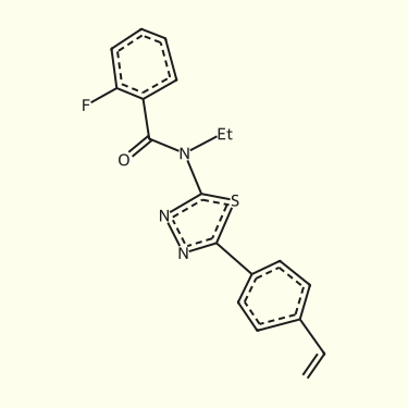 C=Cc1ccc(-c2nnc(N(CC)C(=O)c3ccccc3F)s2)cc1